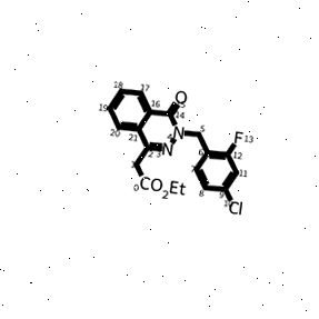 CCOC(=O)Cc1nn(Cc2ccc(Cl)cc2F)c(=O)c2ccccc12